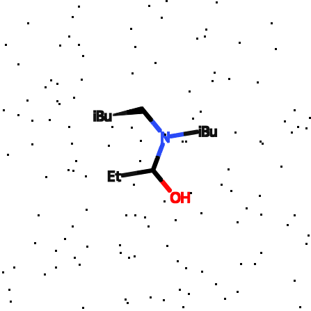 CCC(C)N(C[C@H](C)CC)C(O)CC